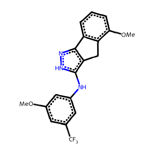 COc1cc(Nc2[nH]nc3c2Cc2c(OC)cccc2-3)cc(C(F)(F)F)c1